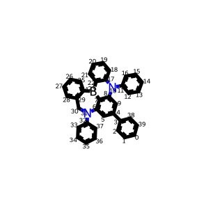 c1ccc(-c2cc3c4c(c2)N(c2ccccc2)c2ccccc2B4c2ccccc2CN3c2ccccc2)cc1